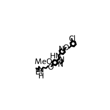 [CH2]CC(C)(C)NCCCOc1cc2ncnc(Nc3ccc(OCc4cccc(Cl)c4)nc3)c2cc1OC